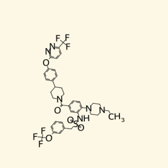 CCN1CCN(c2ccc(C(=O)N3CCC(c4ccc(Oc5ccc(C(F)(F)F)nn5)cc4)CC3)cc2NS(=O)(=O)Cc2cccc(OC(F)(F)F)c2)CC1